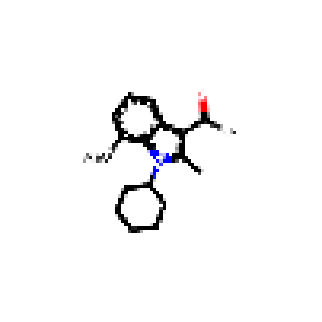 COc1cccc2c(C(=O)C#N)c(C)n(C3CCCCC3)c12